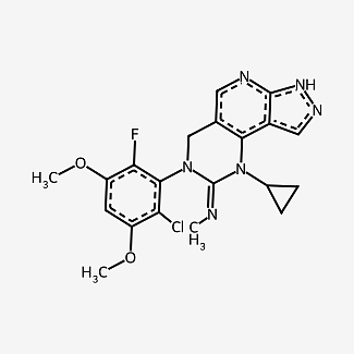 C/N=C1\N(c2c(F)c(OC)cc(OC)c2Cl)Cc2cnc3[nH]ncc3c2N1C1CC1